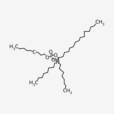 CCCCCCCCCCCCCCC(OP(=O)(O)OCCCCCCCCC)N(CCCCCCCC)CCCCCCCC